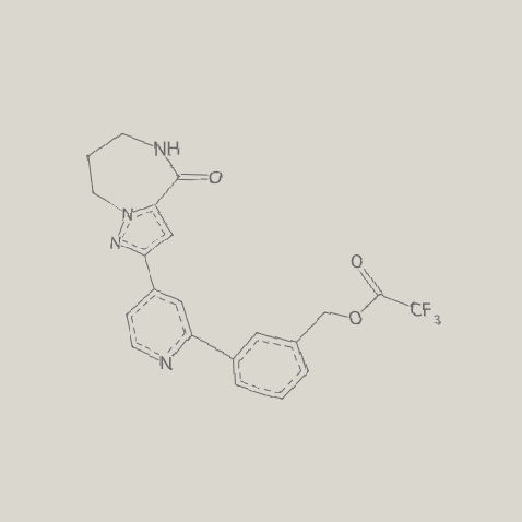 O=C1NCCCn2nc(-c3ccnc(-c4cccc(COC(=O)C(F)(F)F)c4)c3)cc21